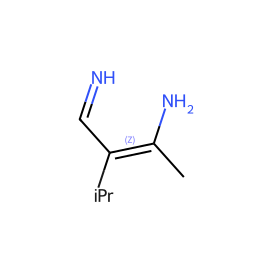 C/C(N)=C(/C=N)C(C)C